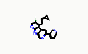 Fc1cnc2[nH]c3cnc(-c4cccnc4)cc3c2c1C=CC1CC1